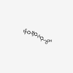 Cc1cc(SC(C)c2ccc3nc(-c4ccc(C(F)(F)F)cc4)sc3c2)ccc1CCC(=O)O